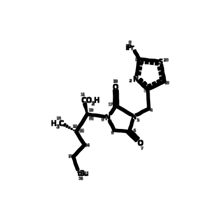 CC(C)c1nc(CN2C(=O)CN([C@H](C(=O)O)[C@@H](C)CCC(C)(C)C)C2=O)cs1